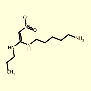 CCCNC(=C[N+](=O)[O-])NCCCCCN